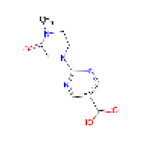 CN1CCN(c2ncc(C(=O)O)cn2)CC1=O